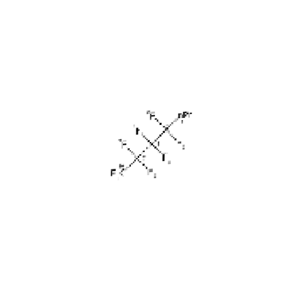 CCCC(F)(F)C(F)(F)C(F)(F)C(F)(F)F